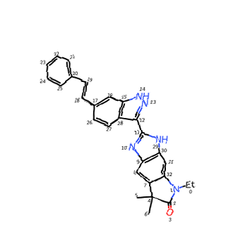 CCN1C(=O)C(C)(C)c2cc3nc(-c4n[nH]c5cc(C=Cc6ccccc6)ccc45)[nH]c3cc21